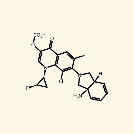 N[C@]12C=CC=C[C@H]1CN(c1c(F)cc3c(=O)c(OC(=O)O)cn([C@H]4C[C@H]4F)c3c1Cl)C2